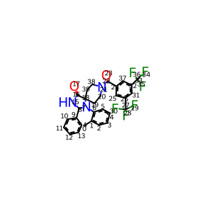 Cc1ccccc1N1C(c2ccccc2)NC(=O)C12CCN(C(=O)c1cc(C(F)(F)F)cc(C(F)(F)F)c1)CC2